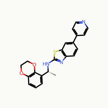 C[C@@H](Nc1nc2ccc(-c3ccncc3)cc2s1)c1cccc2c1OCCO2